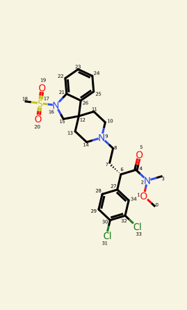 CON(C)C(=O)[C@@H](CCN1CCC2(CC1)CN(S(C)(=O)=O)c1ccccc12)c1ccc(Cl)c(Cl)c1